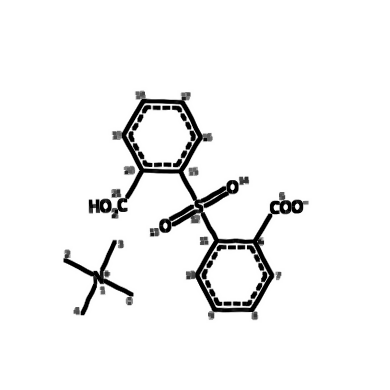 C[N+](C)(C)C.O=C([O-])c1ccccc1S(=O)(=O)c1ccccc1C(=O)O